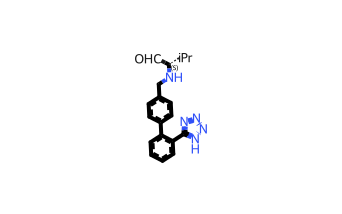 CC(C)[C@@H](C=O)NCc1ccc(-c2ccccc2-c2nnn[nH]2)cc1